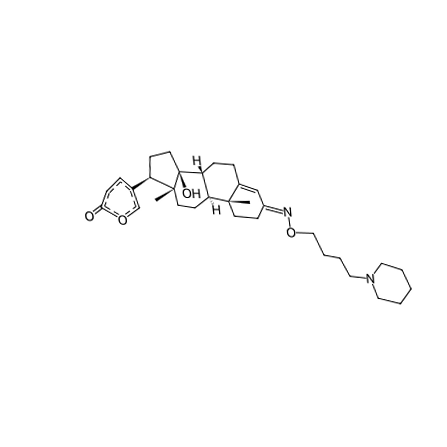 C[C@]12CC/C(=N\OCCCCN3CCCCC3)C=C1CC[C@@H]1[C@@H]2CC[C@]2(C)[C@@H](c3ccc(=O)oc3)CC[C@]12O